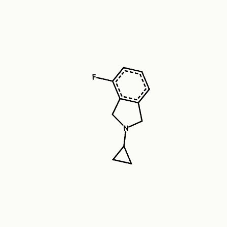 Fc1cccc2c1CN(C1CC1)C2